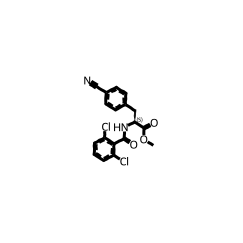 COC(=O)[C@H](Cc1ccc(C#N)cc1)NC(=O)c1c(Cl)cccc1Cl